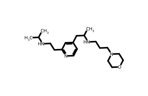 CC(C)NCCc1cc(CC(C)NCCCN2CCOCC2)ccn1